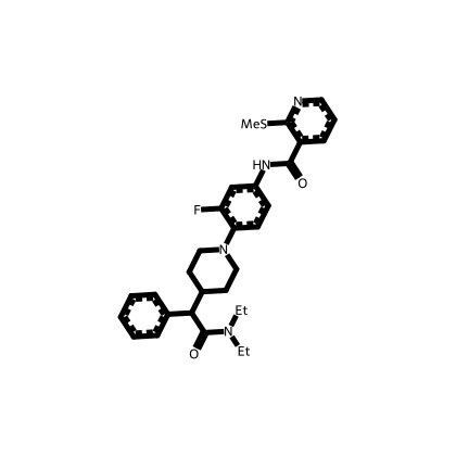 CCN(CC)C(=O)C(c1ccccc1)C1CCN(c2ccc(NC(=O)c3cccnc3SC)cc2F)CC1